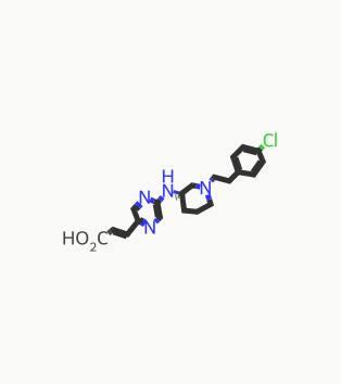 O=C(O)C=Cc1cnc(N[C@@H]2CCCN(CCc3ccc(Cl)cc3)C2)cn1